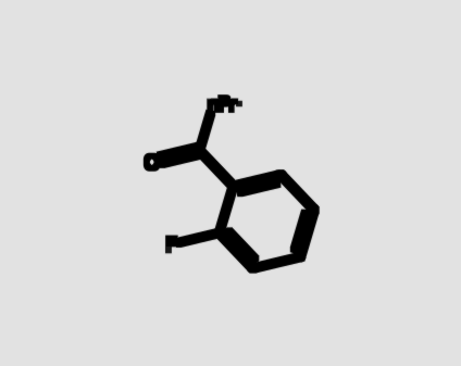 CC[CH]C(=O)c1ccccc1F